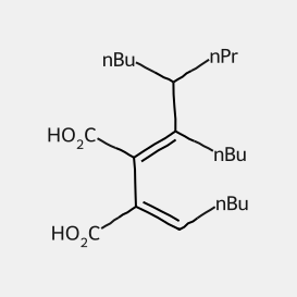 CCCCC=C(C(=O)O)C(C(=O)O)=C(CCCC)C(CCC)CCCC